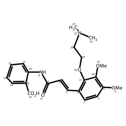 COc1ccc(C=CC(=O)Nc2ccccc2C(=O)O)c(OCCN(C)C)c1OC